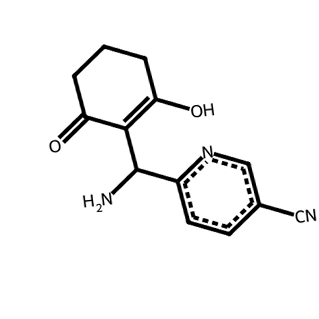 N#Cc1ccc(C(N)C2=C(O)CCCC2=O)nc1